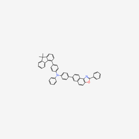 CC1(C)c2ccccc2-c2c(-c3ccc(N(c4ccccc4)c4ccc(-c5ccc6c(ccc7oc(-c8ccccc8)nc76)c5)cc4)cc3)cccc21